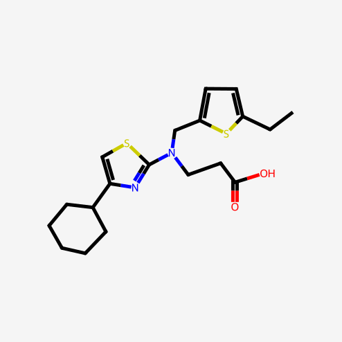 CCc1ccc(CN(CCC(=O)O)c2nc(C3CCCCC3)cs2)s1